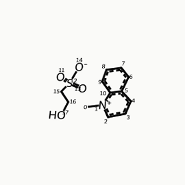 C[n+]1cccc2ccccc21.O=S(=O)([O-])CCO